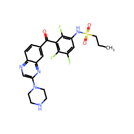 CCCS(=O)(=O)Nc1cc(F)c(F)c(C(=O)c2ccc3ncc(N4CCNCC4)nc3c2)c1F